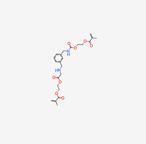 C=C(C)C(=O)OCCOC(=O)CNCc1cccc(CNC(=O)OCCOC(=O)C(=C)C)c1